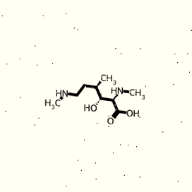 CNCC[C@@H](C)[C@@H](O)[C@@H](NC)C(=O)O